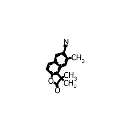 Cc1cc2c3c(ccc2cc1C#N)OC(=O)C3(C)C